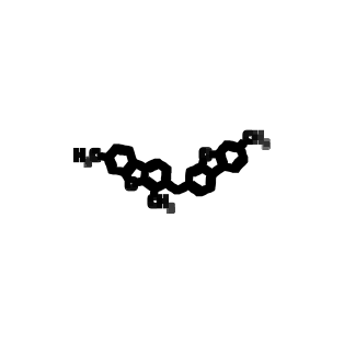 Cc1ccc2c(c1)oc1cc(Cc3ccc4c(oc5cc(C)ccc54)c3C)ccc12